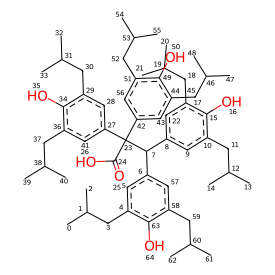 CC(C)Cc1cc(C(c2cc(CC(C)C)c(O)c(CC(C)C)c2)C(C(=O)O)(c2cc(CC(C)C)c(O)c(CC(C)C)c2)c2cc(CC(C)C)c(O)c(CC(C)C)c2)cc(CC(C)C)c1O